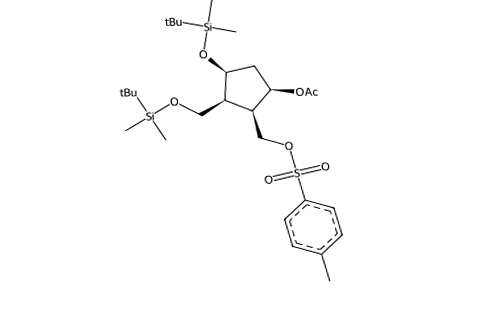 CC(=O)O[C@@H]1C[C@H](O[Si](C)(C)C(C)(C)C)[C@H](CO[Si](C)(C)C(C)(C)C)[C@@H]1COS(=O)(=O)c1ccc(C)cc1